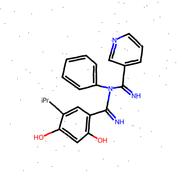 CC(C)c1cc(C(=N)N(C(=N)c2cccnc2)c2ccccc2)c(O)cc1O